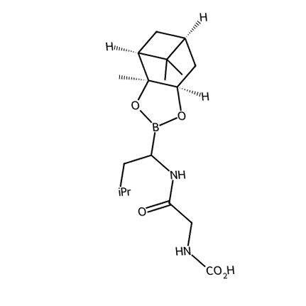 CC(C)CC(NC(=O)CNC(=O)O)B1O[C@@H]2C[C@@H]3C[C@@H](C3(C)C)[C@]2(C)O1